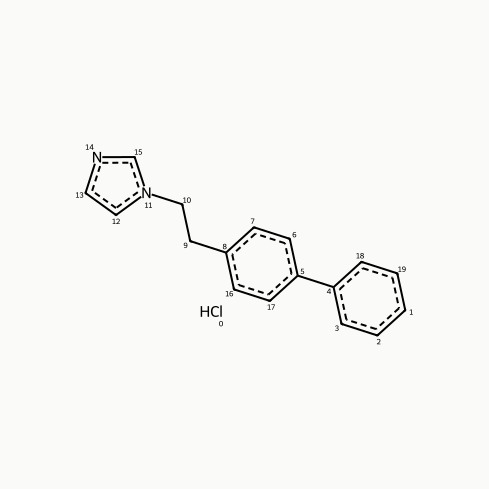 Cl.c1ccc(-c2ccc(CCn3ccnc3)cc2)cc1